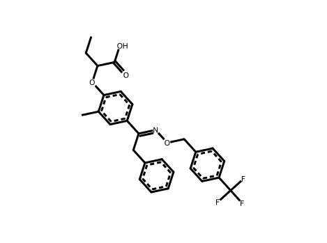 CCC(Oc1ccc(C(Cc2ccccc2)=NOCc2ccc(C(F)(F)F)cc2)cc1C)C(=O)O